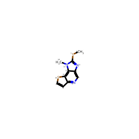 CSc1nc2cnc3ccsc3c2n1C